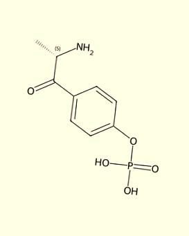 C[C@H](N)C(=O)c1ccc(OP(=O)(O)O)cc1